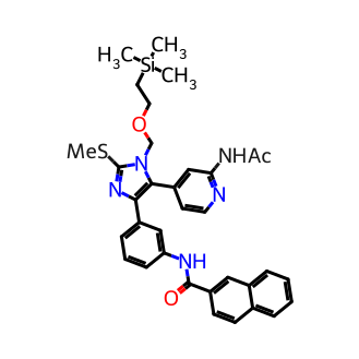 CSc1nc(-c2cccc(NC(=O)c3ccc4ccccc4c3)c2)c(-c2ccnc(NC(C)=O)c2)n1COCC[Si](C)(C)C